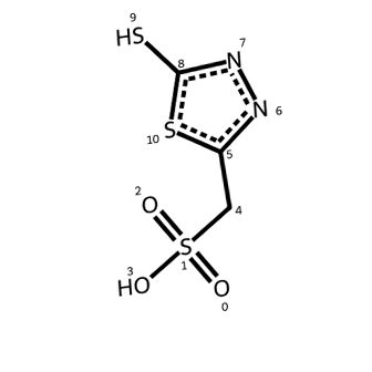 O=S(=O)(O)Cc1nnc(S)s1